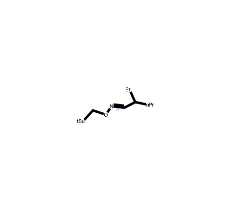 CCCC(/C=N/OCC(C)(C)C)CC